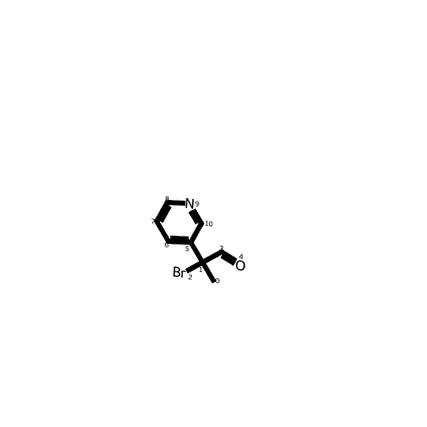 CC(Br)(C=O)c1cccnc1